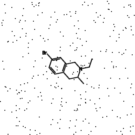 CCN1Cc2cc(Br)ccc2CC1C